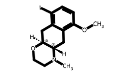 COc1ccc(I)c2c1C[C@H]1[C@H](C2)OCCN1C